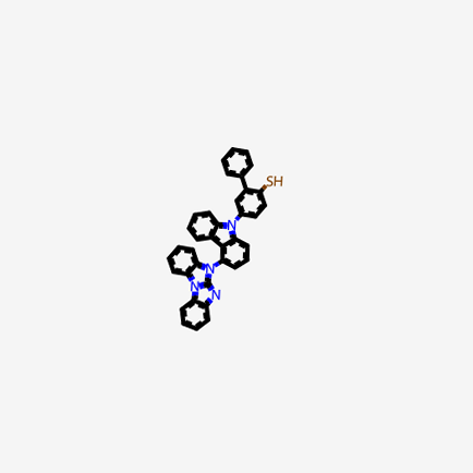 Sc1ccc(-n2c3ccccc3c3c(-n4c5ccccc5n5c6ccccc6nc45)cccc32)cc1-c1ccccc1